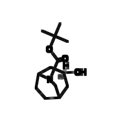 CC(C)(C)OC(=O)N1CC2CCC1C[C@@H](O)C2